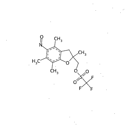 Cc1c(C)c2c(c(C)c1N=O)CC(C)(COS(=O)(=O)C(F)(F)F)O2